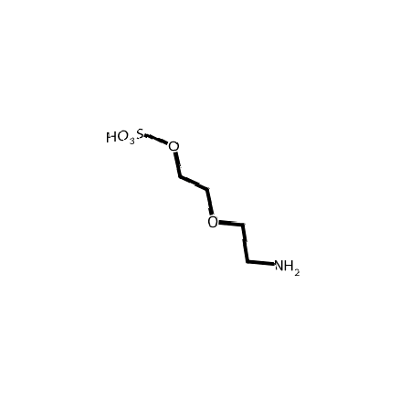 NCCOCCOS(=O)(=O)O